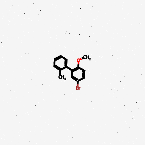 COc1[c]cc(Br)cc1-c1ccccc1C